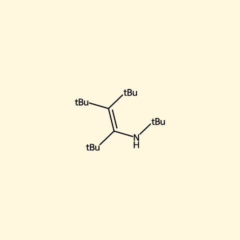 CC(C)(C)NC(=C(C(C)(C)C)C(C)(C)C)C(C)(C)C